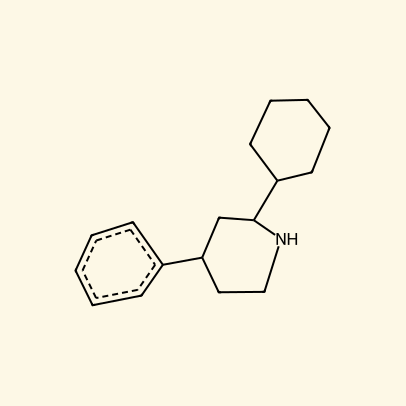 c1ccc(C2CCNC(C3CCCCC3)C2)cc1